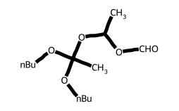 CCCCOC(C)(OCCCC)OC(C)OC=O